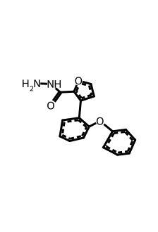 NNC(=O)c1occc1-c1ccccc1Oc1ccccc1